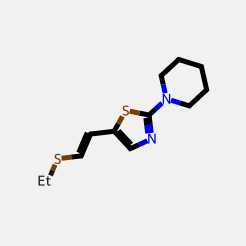 CCS/C=C/c1cnc(N2CCCCC2)s1